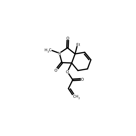 C=CC(=O)OC12CCC=CC1(CC)C(=O)N(C)C2=O